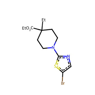 CCOC(=O)C1(CC)CCN(c2ncc(Br)s2)CC1